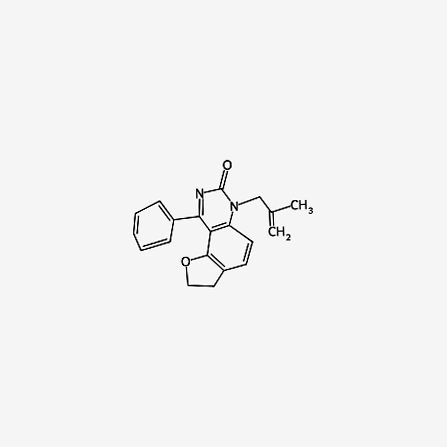 C=C(C)Cn1c(=O)nc(-c2ccccc2)c2c3c(ccc21)CCO3